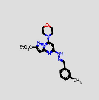 CCOC(=O)c1cc2nc(NN=Cc3cccc(C)c3)cc(N3CCOCC3)n2n1